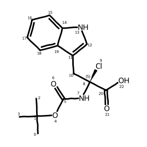 CC(C)(C)OC(=O)N[C@](Cl)(Cc1c[nH]c2ccccc12)C(=O)O